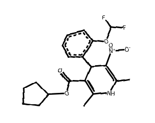 CC1=C(C(=O)OC2CCCC2)C(c2ccccc2OC(F)F)C([N+](=O)[O-])=C(C)N1